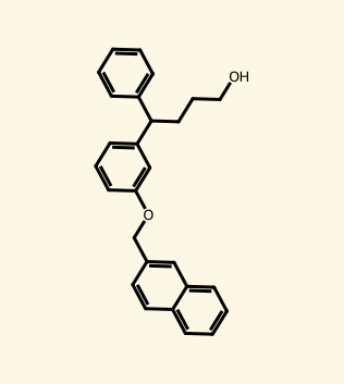 OCCCC(c1ccccc1)c1cccc(OCc2ccc3ccccc3c2)c1